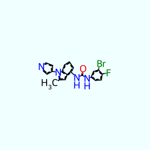 Cc1cc2c(NC(=O)Nc3ccc(F)c(Br)c3)cccc2n1-c1ccncc1